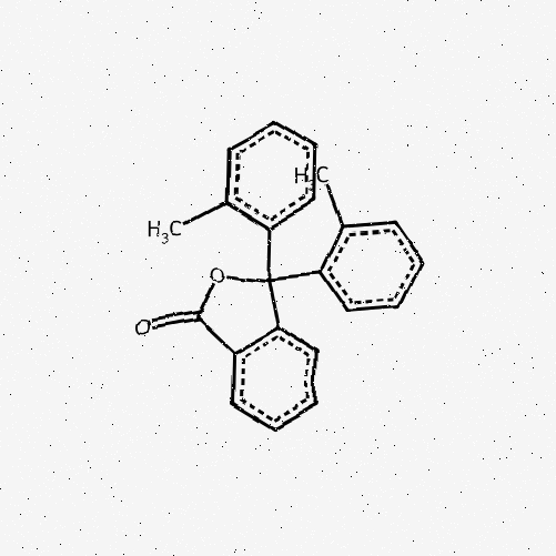 Cc1ccccc1C1(c2ccccc2C)OC(=O)c2ccccc21